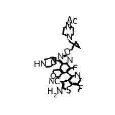 CC(=O)N1CCN(CC2(COc3nc(N4C5CCC4CNC5)c4c5c(c(-c6ncc(F)c7sc(N)c(C#N)c67)c(F)c4n3)COC5)CC2)CC1